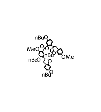 CCCCOc1ccc2c(c1)OCC([C@@H]1C=C(C(=O)Oc3cc(OCCCC)ccc3C(=O)Cc3ccc(OC)cc3OCCCC)C(OC)=CC1OCCCC)C2